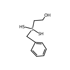 OCCS(S)(S)Cc1ccccc1